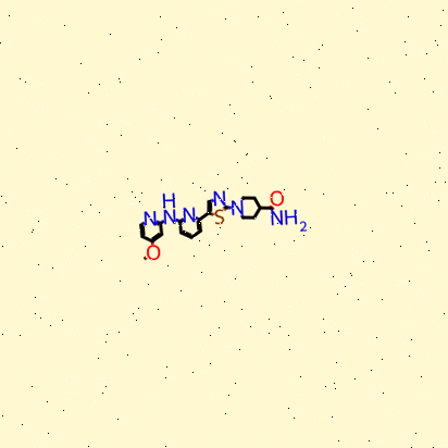 COc1ccnc(Nc2cccc(-c3cnc(N4CCC(C(N)=O)CC4)s3)n2)c1